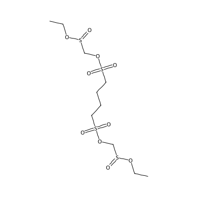 CCOS(=O)COS(=O)(=O)CCCCS(=O)(=O)OCS(=O)OCC